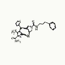 NC(=O)c1sc2nc3c(c(-c4cccs4)c2c1N)CN(C(=S)NCCCc1ccccc1)C3